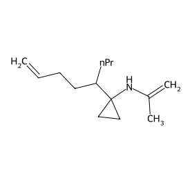 C=CCCC(CCC)C1(NC(=C)C)CC1